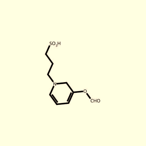 O=COC1=CC=CN(CCCS(=O)(=O)O)C1